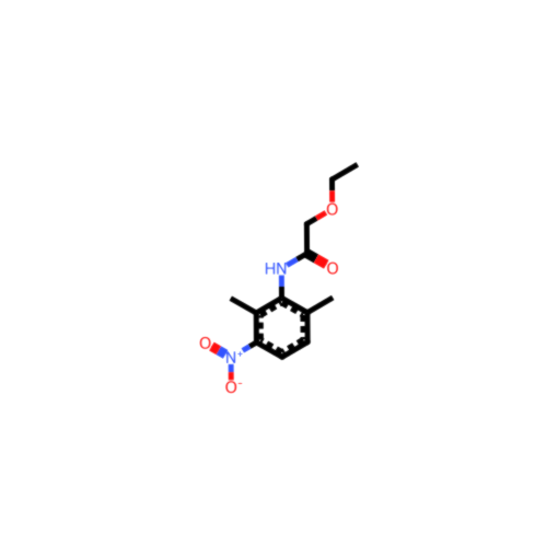 CCOCC(=O)Nc1c(C)ccc([N+](=O)[O-])c1C